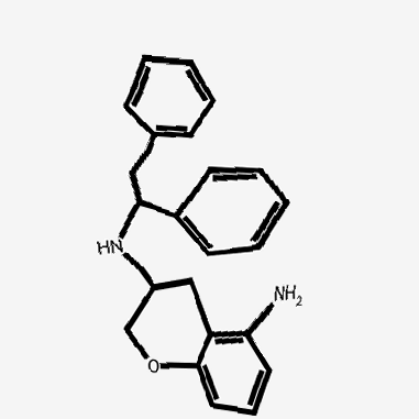 Nc1cccc2c1CC(NC(Cc1ccccc1)c1ccccc1)CO2